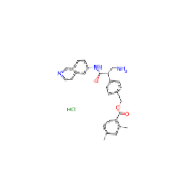 Cc1ccc(C(=O)OCc2ccc(C(CN)C(=O)Nc3ccc4cnccc4c3)cc2)c(C)c1.Cl